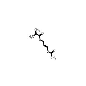 C=C(C)C(=O)OCC=COC(C)=O